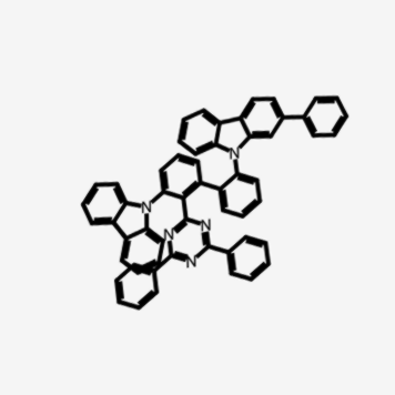 c1ccc(-c2ccc3c4ccccc4n(-c4ccccc4-c4cccc(-n5c6ccccc6c6ccccc65)c4-c4nc(-c5ccccc5)nc(-c5ccccc5)n4)c3c2)cc1